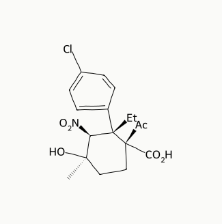 CC[C@]1(c2ccc(Cl)cc2)[C@H]([N+](=O)[O-])[C@](C)(O)CC[C@@]1(C(C)=O)C(=O)O